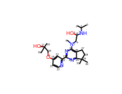 CC(C)NC(O)CN(C)c1nc(-c2cc(OCC(C)(C)O)ccn2)nc2c1CCC2(C)C